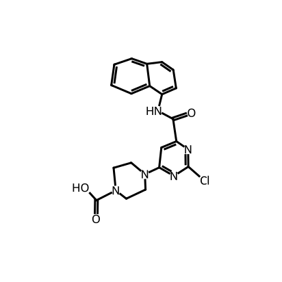 O=C(Nc1cccc2ccccc12)c1cc(N2CCN(C(=O)O)CC2)nc(Cl)n1